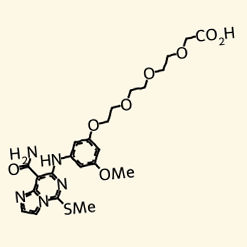 COc1cc(Nc2nc(SC)n3ccnc3c2C(N)=O)cc(OCCOCCOCCOCC(=O)O)c1